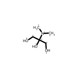 CN(C)C(O)(CO)CO